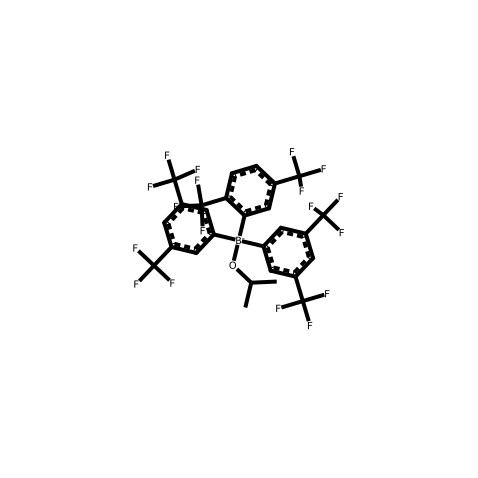 CC(C)O[B-](c1cc(C(F)(F)F)cc(C(F)(F)F)c1)(c1cc(C(F)(F)F)cc(C(F)(F)F)c1)c1cc(C(F)(F)F)ccc1C(F)(F)F